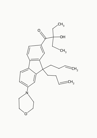 C=CCCC1(CCC=C)c2cc(C(=O)C(O)(CC)CC)ccc2-c2ccc(N3CCOCC3)cc21